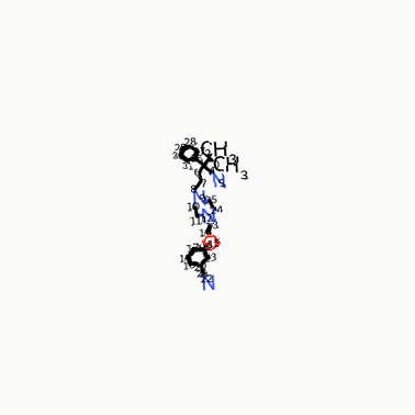 CC(C)C(C#N)(CCCN1CCN(CCOc2cccc(C#N)c2)CC1)c1ccccc1